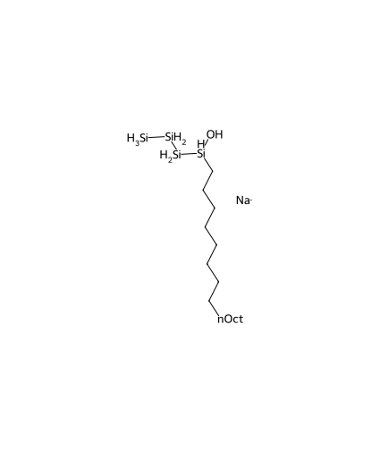 CCCCCCCCCCCCCCCC[SiH](O)[SiH2][SiH2][SiH3].[Na]